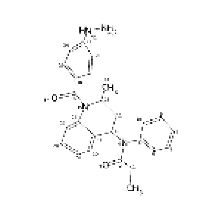 CCC(=O)N(c1ccccc1)C1CC(C)N(C(=O)c2ccc(NN)cc2)c2ccccc21